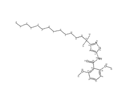 CCCCCCCCCCCCCC(C)(C)c1cc(NC(=O)c2c(OC)cccc2OC)on1